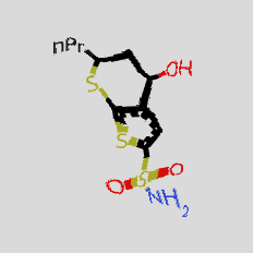 CCCC1CC(O)c2cc(S(N)(=O)=O)sc2S1